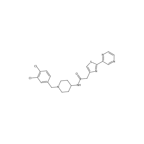 O=C(Cc1csc(-c2cnccn2)n1)NC1CCN(Cc2ccc(Cl)c(Cl)c2)CC1